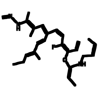 C=C/C(O/C(=C/C)NC/C=C\C)=C(F)\C=C/C(/C=C/C(C)=C/CC)=C/C(C)=C(\C)NN=C